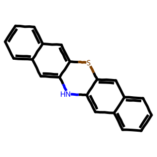 c1ccc2cc3c(cc2c1)Nc1cc2ccccc2cc1S3